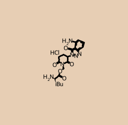 CC[C@H](C)[C@H](N)C(=O)OCN1C(=O)CCC(n2nnc3cccc(N)c3c2=O)C1=O.Cl